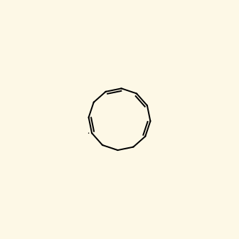 [C]1=CCC=CC=CC=CCCC1